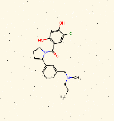 CCCN(C)Cc1cccc(C2CCCN2C(=O)c2cc(Cl)c(O)cc2O)c1